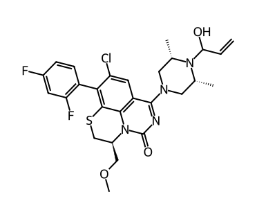 C=CC(O)N1[C@H](C)CN(c2nc(=O)n3c4c(c(-c5ccc(F)cc5F)c(Cl)cc24)SC[C@@H]3COC)C[C@@H]1C